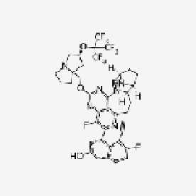 C#Cc1c(F)ccc2cc(O)cc(-c3nc4c5c(nc(OCC67CCCN6C[C@@H](OC(C(F)(F)F)(C(F)(F)F)C(F)(F)F)C7)nc5c3F)N3C[C@H]5CC[C@H](N5)[C@H]3CC4)c12